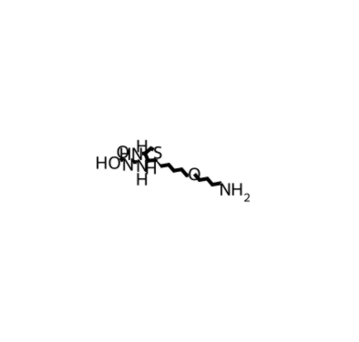 NCCCCOCCCCC[C@@H]1SC[C@@H]2N/C(=N\C(=O)O)N[C@@H]21